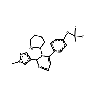 Cn1cc(C2N=CC=C(c3ccc(OC(F)(F)F)cc3)N2[C@@H]2CCCC[C@H]2O)cn1